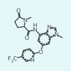 CN1C(=O)CCC1C(=O)Nc1cc(Oc2ccc(C(F)(F)F)cn2)cc2c1ncn2C